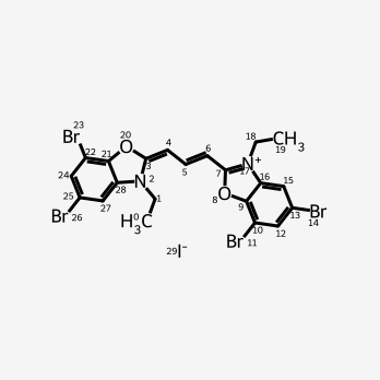 CCN1C(=CC=Cc2oc3c(Br)cc(Br)cc3[n+]2CC)Oc2c(Br)cc(Br)cc21.[I-]